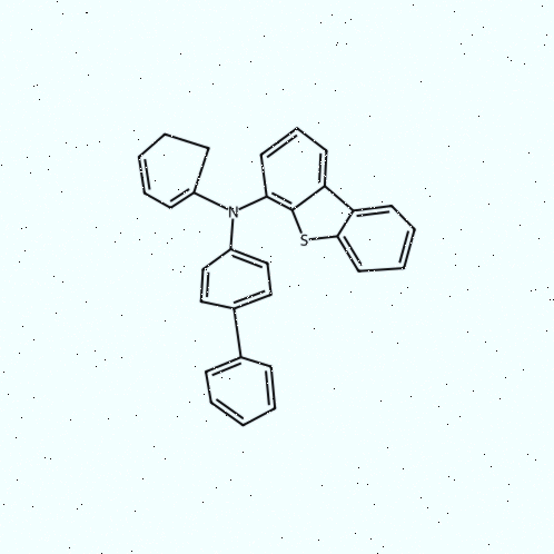 C1=CCCC(N(c2ccc(-c3ccccc3)cc2)c2cccc3c2sc2ccccc23)=C1